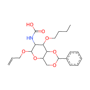 C=CCOC1OC2COC(c3ccccc3)OC2C(OCCCC)C1NC(=O)O